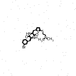 CN(C)CCSc1ccc(C=c2[nH]c(=O)c(=Cc3cccc(Br)c3)[nH]c2=O)s1